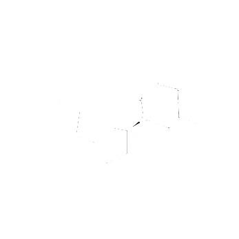 Cc1cn([C@H]2C=C[C@@](C)(COP(=O)(O)O)O2)c(=O)[nH]c1=O